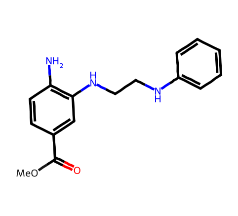 COC(=O)c1ccc(N)c(NCCNc2ccccc2)c1